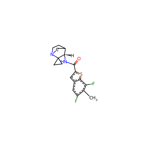 Cc1c(F)cc2cc(C(=O)N[C@H]3C4CCN(CC4)C34CC4)sc2c1F